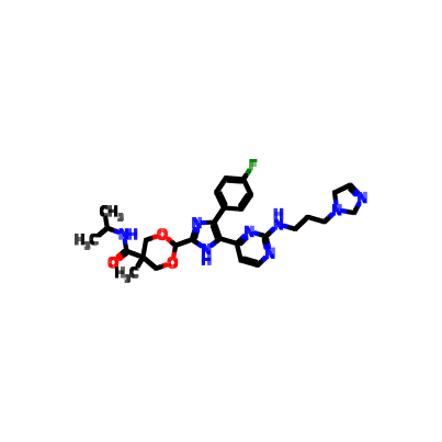 CC(C)NC(=O)C1(C)COC(c2nc(-c3ccc(F)cc3)c(-c3ccnc(NCCCN4CC=NC4)n3)[nH]2)OC1